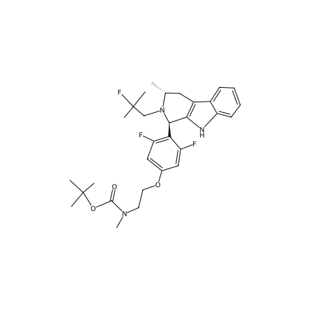 C[C@@H]1Cc2c([nH]c3ccccc23)[C@@H](c2c(F)cc(OCCN(C)C(=O)OC(C)(C)C)cc2F)N1CC(C)(C)F